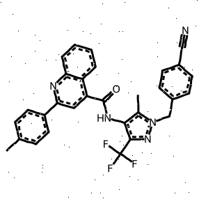 Cc1ccc(-c2cc(C(=O)Nc3c(C(F)(F)F)nn(Cc4ccc(C#N)cc4)c3C)c3ccccc3n2)cc1